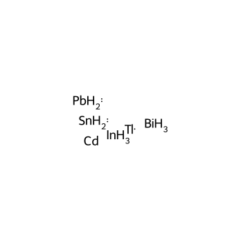 [BiH3].[Cd].[InH3].[PbH2].[SnH2].[Tl]